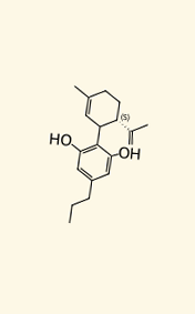 C=C(C)[C@H]1CCC(C)=CC1c1c(O)cc(CCC)cc1O